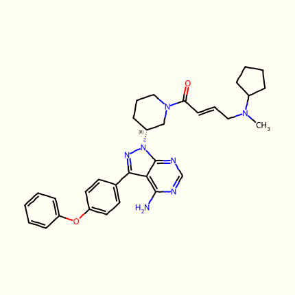 CN(CC=CC(=O)N1CCC[C@@H](n2nc(-c3ccc(Oc4ccccc4)cc3)c3c(N)ncnc32)C1)C1CCCC1